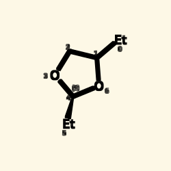 CCC1CO[C@H](CC)O1